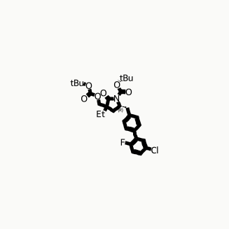 CCC1(COC(=O)OC(C)(C)C)C[C@@H](Cc2ccc(-c3cc(Cl)ccc3F)cc2)N(C(=O)OC(C)(C)C)C1=O